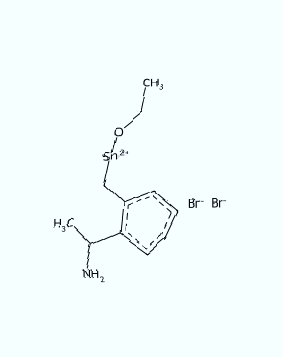 CC[O][Sn+2][CH2]c1ccccc1C(C)N.[Br-].[Br-]